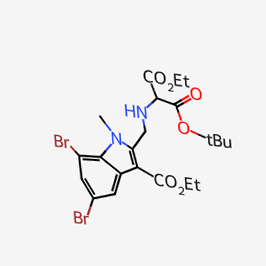 CCOC(=O)c1c(CNC(C(=O)OCC)C(=O)OC(C)(C)C)n(C)c2c(Br)cc(Br)cc12